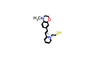 CN1CCOc2cc(/C=C/c3cccc[n+]3CCS)ccc21